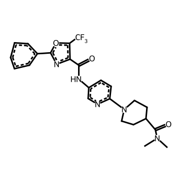 CN(C)C(=O)C1CCN(c2ccc(NC(=O)c3nc(-c4ccccc4)oc3C(F)(F)F)cn2)CC1